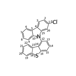 Clc1ccc2c3ccccc3n(-c3cccc4sc5ccccc5c34)c2c1